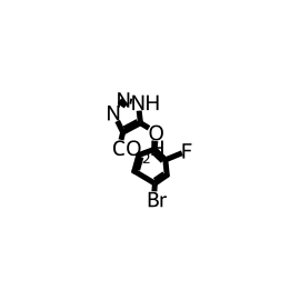 O=C(O)c1nn[nH]c1Oc1ccc(Br)cc1F